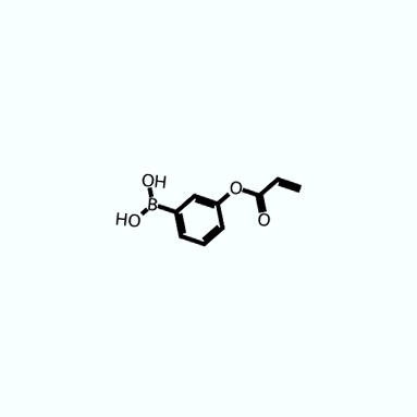 C=CC(=O)Oc1cccc(B(O)O)c1